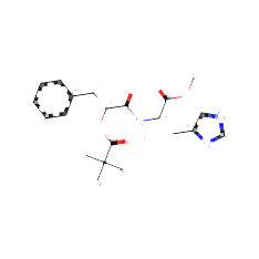 COC(=O)[C@H](Cc1c[nH]cn1)NC(=O)[C@H](Cc1ccccc1)OC(=O)C(C)(C)C